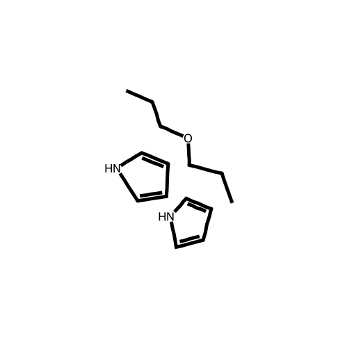 CCCOCCC.c1cc[nH]c1.c1cc[nH]c1